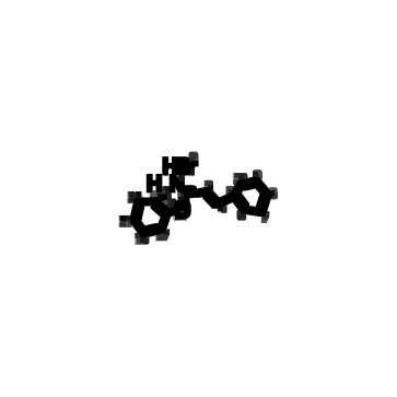 Br.NP(C=Cc1ccccc1)Oc1ccccc1